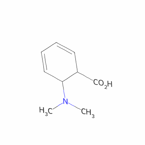 CN(C)C1C=CC=CC1C(=O)O